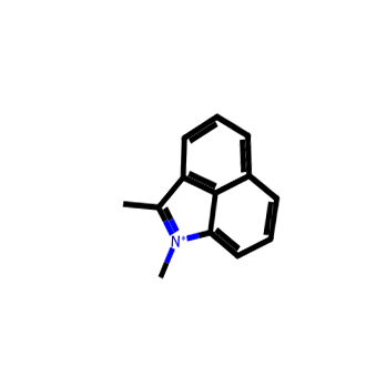 CC1=[N+](C)c2cccc3cccc1c23